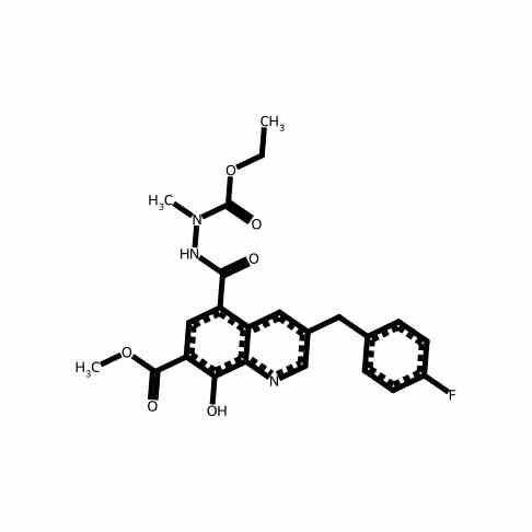 CCOC(=O)N(C)NC(=O)c1cc(C(=O)OC)c(O)c2ncc(Cc3ccc(F)cc3)cc12